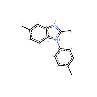 Cc1ccc(-n2c(C)nc3cc(C)ccc32)cc1